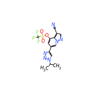 CC(C)n1cc(-c2cc(OS(=O)(=O)C(F)(F)F)c3c(C#N)cnn3c2)nn1